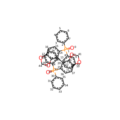 O=P(c1ccccc1)(c1ccccc1)c1ccc2c(c1-c1c(P(=O)(c3ccccc3)c3ccccc3)ccc3c1OCO3)OCO2